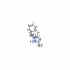 CCc1nc(Cc2ccccc2[N+](=O)[O-])n[nH]1